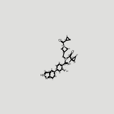 O=C(C1CC1)N1CC(CN2C(=O)C3(CC3)N=C2c2ccc(-c3ccc4n[nH]cc4c3)cc2F)C1